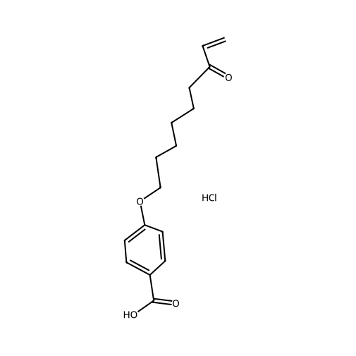 C=CC(=O)CCCCCCOc1ccc(C(=O)O)cc1.Cl